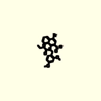 CCC(=O)C(=O)N(Cc1ccc(OC)cc1OC)c1c([N+](=O)[O-])cc(Br)c2ccccc12